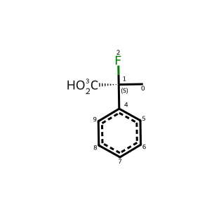 C[C@@](F)(C(=O)O)c1ccccc1